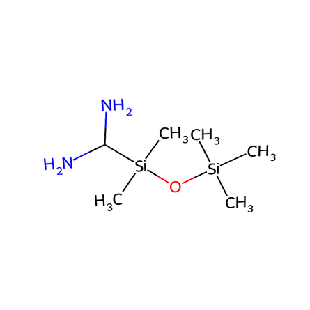 C[Si](C)(C)O[Si](C)(C)C(N)N